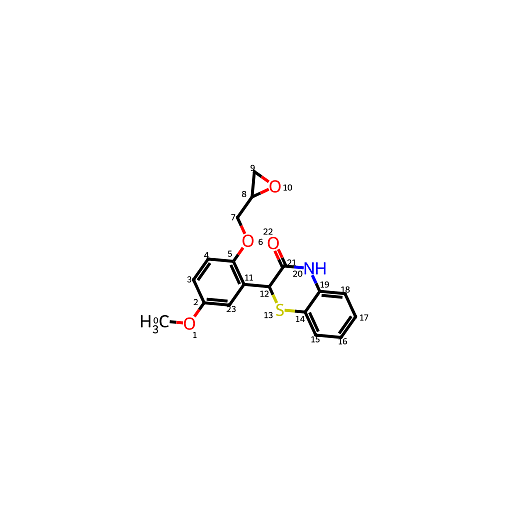 COc1ccc(OCC2CO2)c(C2Sc3ccccc3NC2=O)c1